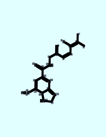 C=C(/C=C\C(F)=C(C)C)CNC(=O)C1=NC2=NCNN2C(C(=O)O)=C1